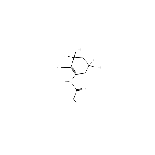 CCN(C(=O)CCl)C1=C(C)C(C)(C)CC(C)(C)C1